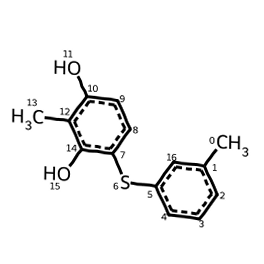 Cc1cccc(Sc2ccc(O)c(C)c2O)c1